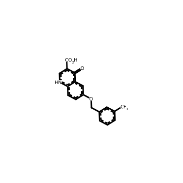 O=C(O)c1c[nH]c2ccc(OCc3cccc(C(F)(F)F)c3)cc2c1=O